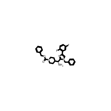 N[C@@H](c1nc(-c2cc(F)ccc2F)cn1Cc1ccccc1)C1CCN(C(=O)OCc2ccccc2)CC1